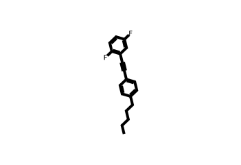 CCCCCc1ccc(C#Cc2cc(F)ccc2F)cc1